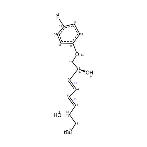 CC(C)(C)C[C@H](O)/C=C/C=C/[C@H](O)COc1ccc(F)cc1